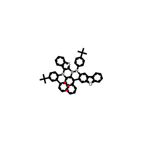 CC(C)(C)c1ccc(N2B3c4sc5ccccc5c4N(c4ccc(C(C)(C)C)cc4-c4ccccc4)c4cc5ccccc5c(c43)-c3cc4oc5ccccc5c4cc32)cc1